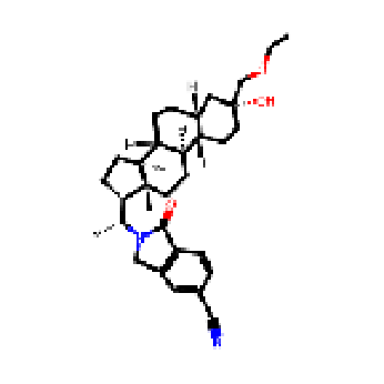 CCOC[C@@]1(O)CC[C@H]2[C@H](CC[C@@H]3[C@@H]2CC[C@]2(C)[C@@H]([C@@H](C)N4Cc5cc(C#N)ccc5C4=O)CC[C@@H]32)C1